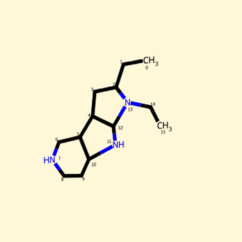 CCC1CC2C3CNCCC3NC2N1CC